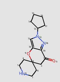 O=C1CC2(CCNCC2)Oc2cn(C3CCCC3)nc21